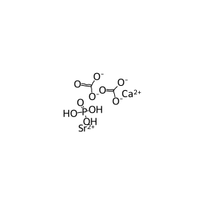 O=C([O-])[O-].O=C([O-])[O-].O=P(O)(O)O.[Ca+2].[Sr+2]